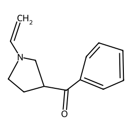 C=CN1CCC(C(=O)c2ccccc2)C1